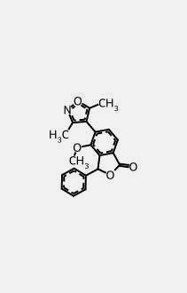 COc1c(-c2c(C)noc2C)ccc2c1C(c1ccccc1)OC2=O